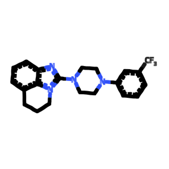 FC(F)(F)c1cccc(N2CCN(c3nc4cccc5c4n3CCC5)CC2)c1